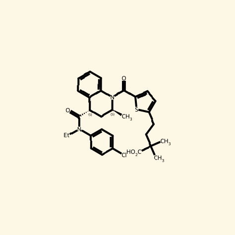 CCN(C(=O)[C@H]1C[C@H](C)N(C(=O)c2ccc(CCC(C)(C)C(=O)O)s2)c2ccccc21)c1ccc(Cl)cc1